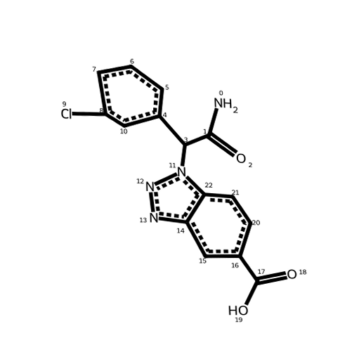 NC(=O)C(c1cccc(Cl)c1)n1nnc2cc(C(=O)O)ccc21